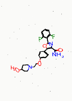 NC(=O)c1nc(-c2c(F)cccc2F)oc1-c1ccc(OCCN2CCC(O)CC2)cc1